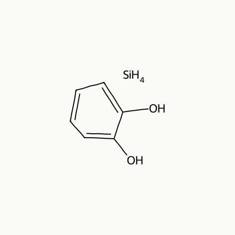 Oc1ccccc1O.[SiH4]